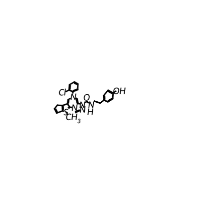 CS1=C2C(=CN(c3ccccc3Cl)C=C3N2C=NN3C(=O)NCCc2ccc(O)cc2)C2=C1C=CC2